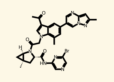 CC(=O)c1cn(CC(=O)N2[C@H](C(=O)Nc3cncc(Br)n3)C[C@@]3(C)C[C@@H]23)c2c(C)cc(-c3cnc4cc(C)nn4c3)cc12